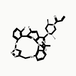 C=CC(=O)N1C[C@H](C)N(c2nc(=O)n3c4nc(c(F)cc24)-c2c(F)cccc2Cn2cc(nn2)CNc2cccc(C(C)C)c2-3)C[C@H]1C